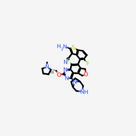 CN1CCC[C@H]1COc1nc(N2C3CCC2CNC3)c2c3c(c(-c4c(F)ccc5sc(N)c(C#N)c45)c(F)c2n1)COC3